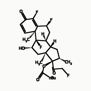 CCCCC(=O)O[C@]1(C(=O)CF)[C@@H](C)C[C@H]2[C@@H]3C[C@H](F)C4=C(F)C(=O)C=C[C@]4(C)[C@@]3(F)[C@@H](O)C[C@@]21C